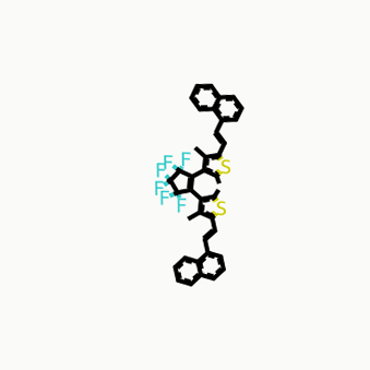 Cc1sc(C=Cc2cccc3ccccc23)c(C)c1C1=C(c2c(C)sc(C=Cc3cccc4ccccc34)c2C)C(F)(F)C(F)(F)C1(F)F